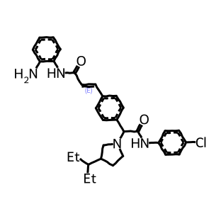 CCC(CC)C1CCN(C(C(=O)Nc2ccc(Cl)cc2)c2ccc(/C=C/C(=O)Nc3ccccc3N)cc2)C1